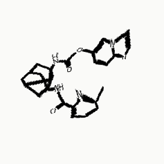 Cc1cccc(C(=O)NC23CC4CC(CC(NC(=O)Oc5ccc6nccn6c5)(C4)C2)C3)n1